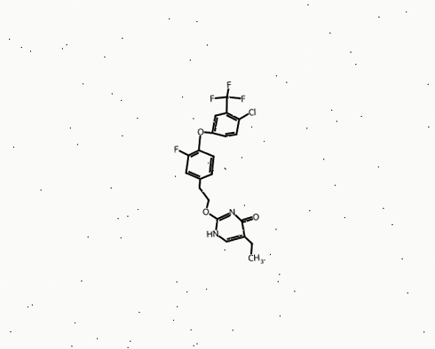 CCc1c[nH]c(OCCc2ccc(Oc3ccc(Cl)c(C(F)(F)F)c3)c(F)c2)nc1=O